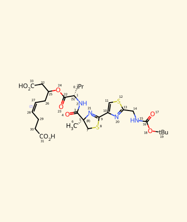 CC(C)[C@H](NC(=O)[C@]1(C)CSC(c2csc(CNC(=O)OC(C)(C)C)n2)=N1)C(=O)OC(C/C=C\CCC(=O)O)CC(=O)O